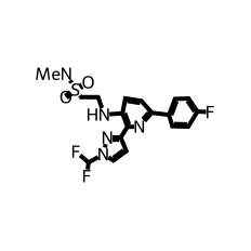 CNS(=O)(=O)CCNc1ccc(-c2ccc(F)cc2)nc1-c1ccn(C(F)F)n1